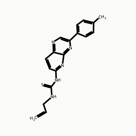 C=CCNC(=S)Nc1ccc2ncc(-c3ccc(C)cc3)nc2n1